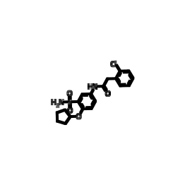 NS(=O)(=O)c1cc(NC(=O)Cc2ccccc2Cl)ccc1OC1CCCC1